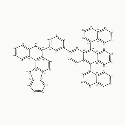 c1cc(-c2ccc3c(-c4cccc5ccccc45)c4ccccc4c(-c4cccc5ccccc45)c3c2)cc(-c2nc3ccccc3c3c2ccc2c4ccccc4oc23)c1